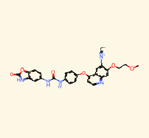 [C-]#[N+]c1cc2c(Oc3ccc(NC(=O)Nc4ccc5oc(=O)[nH]c5c4)cc3)ccnc2cc1OCCOC